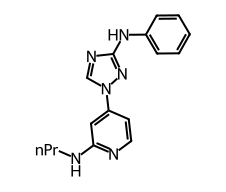 CCCNc1cc(-n2cnc(Nc3ccccc3)n2)ccn1